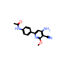 COc1nc(-c2ccc(NC(C)=O)cc2)cc(N)c1C#N